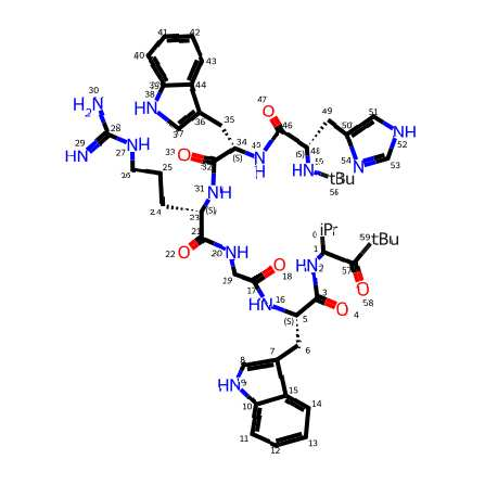 CC(C)C(NC(=O)[C@H](Cc1c[nH]c2ccccc12)NC(=O)CNC(=O)[C@H](CCCNC(=N)N)NC(=O)[C@H](Cc1c[nH]c2ccccc12)NC(=O)[C@H](Cc1c[nH]cn1)NC(C)(C)C)C(=O)C(C)(C)C